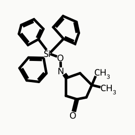 CC1(C)CC(=O)CC(=NO[Si](c2ccccc2)(c2ccccc2)c2ccccc2)C1